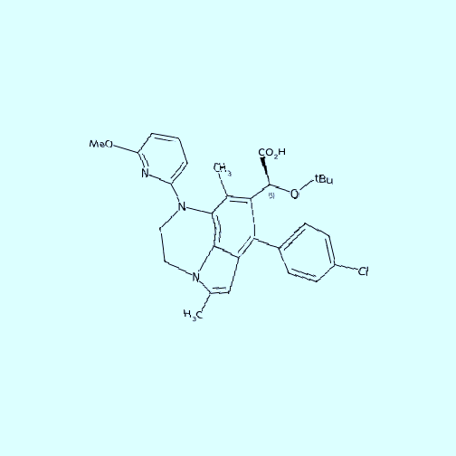 COc1cccc(N2CCn3c(C)cc4c(-c5ccc(Cl)cc5)c([C@H](OC(C)(C)C)C(=O)O)c(C)c2c43)n1